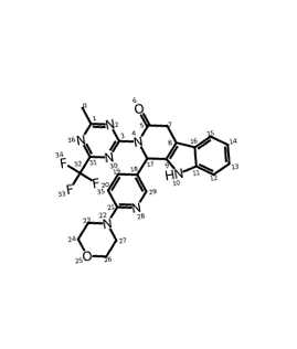 Cc1nc(N2C(=O)Cc3c([nH]c4ccccc34)C2c2ccc(N3CCOCC3)nc2)nc(C(F)(F)F)n1